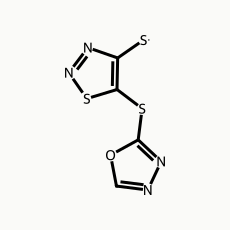 [S]c1nnsc1Sc1nnco1